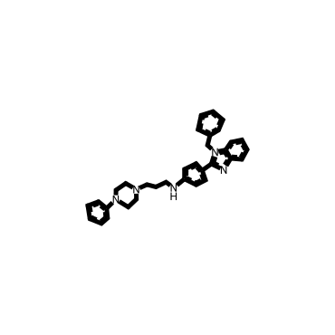 c1ccc(Cn2c(-c3ccc(NCCCN4CCN(c5ccccc5)CC4)cc3)nc3ccccc32)cc1